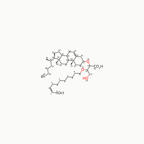 CCCCCCCC/C=C\CCCCCCCCOC(CO)C(OC1CC[C@@]2(C)C(=CCC3C2CC[C@@]2(C)C3CC[C@@H]2[C@H](C)CCCC(C)C)C1)C(=O)O